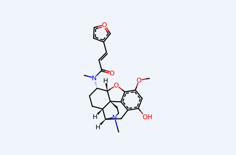 COc1cc(O)c2c3c1O[C@H]1[C@@H](N(C)C(=O)/C=C/c4ccoc4)CC[C@H]4[C@@H](C2)N(C)CC[C@@]341